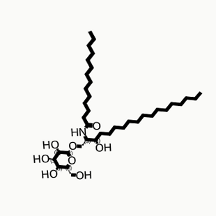 CCCCCCCCCCCCCCC[C@@H](O)[C@H](CO[C@@H]1O[C@H](CO)[C@@H](O)[C@H](O)[C@H]1O)NC(=O)CCCCCCCCCCCCC